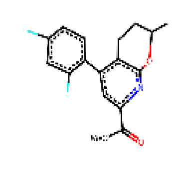 COC(=O)c1cc(-c2ccc(F)cc2F)c2c(n1)OC(C)CC2